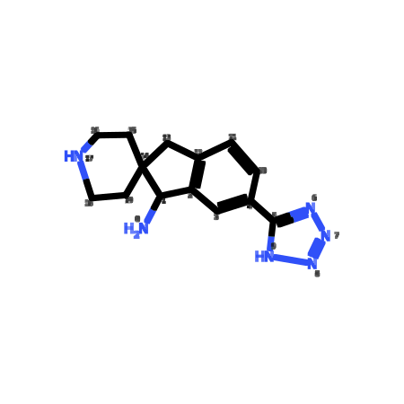 NC1c2cc(-c3nnn[nH]3)ccc2CC12CCNCC2